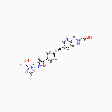 C[C@H](O)c1nccn1Cc1cc(-c2ccc(C#Cc3ccc(CNCCO)nc3)cc2)on1